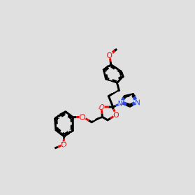 COc1ccc(CCC2(n3ccnc3)OCC(COc3cccc(OC)c3)O2)cc1